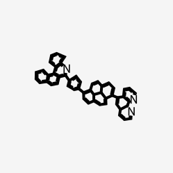 C1=CC2C=C(C3=CC=C4C=CC5=C(c6ccc(-c7nc8ccccc8c8c7ccc7ccccc78)cc6)C=CC6=CC=C3C4C65)c3cccnc3C2N=C1